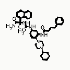 CC(NC(=O)Nc1ccc(N2CCN(C3CCCCC3)CC2)c(NC(=O)CCCc2ccccc2)c1)(C(N)=O)c1cccc2ccccc12